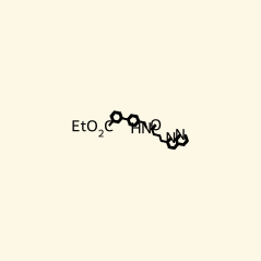 CCOC(=O)c1cccc(-c2ccc(CNC(=O)CCCc3ccc4cccnc4n3)cc2)c1